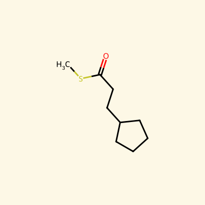 CSC(=O)CCC1CCCC1